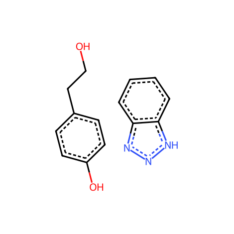 OCCc1ccc(O)cc1.c1ccc2[nH]nnc2c1